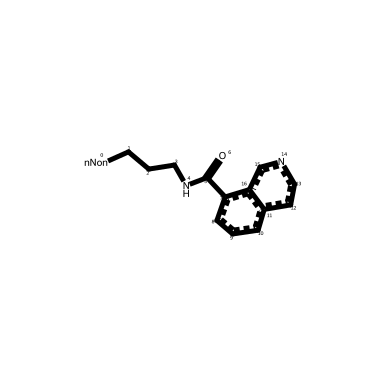 CCCCCCCCCCCCNC(=O)c1cccc2ccncc12